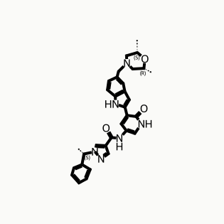 C[C@@H]1CN(Cc2ccc3[nH]c(-c4cc(NC(=O)c5cnn([C@@H](C)c6ccccc6)c5)c[nH]c4=O)cc3c2)C[C@H](C)O1